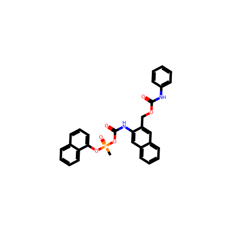 CP(=O)(OC(=O)Nc1cc2ccccc2cc1COC(=O)Nc1ccccc1)Oc1cccc2ccccc12